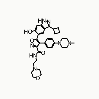 CN1CCN(c2ccc(-c3c(C(=O)NCCN4CCOCC4)noc3-c3cc4c(C5CCC5)n[nH]c4cc3O)cc2)CC1